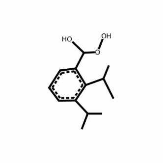 CC(C)c1cccc(C(O)OO)c1C(C)C